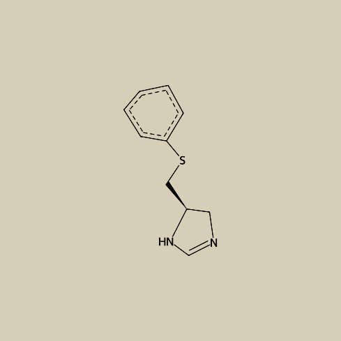 C1=NC[C@H](CSc2ccccc2)N1